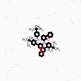 CC(C)(C)c1ccc(N2B3c4ccc5c(oc6ccccc65)c4N(c4ccc(C(C)(C)C)cc4-c4ccccc4)c4cc(-c5ccccc5)cc(c43)-c3ccc(C(C)(C)C)cc32)cc1